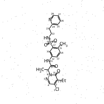 CCc1c(Cl)cnn(C(C)C(=O)Nc2ccc(C)c(S(=O)(=O)NCCc3ccccn3)c2)c1=O